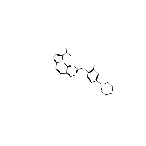 CC(C)c1cnc2ccc3cnc(Nc4ccc(N5CCNCC5)cc4F)nc3n12